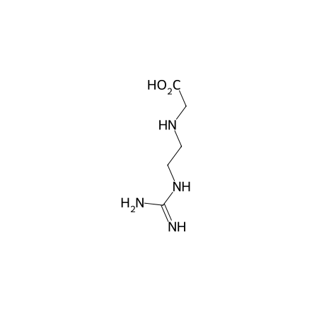 N=C(N)NCCNCC(=O)O